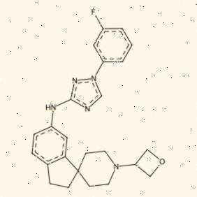 Fc1cccc(-n2cnc(Nc3ccc4c(c3)C3(CC4)CCN(C4COC4)CC3)n2)c1